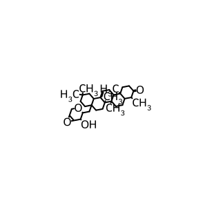 CC1C(=O)CCC2(C)C1CCC1(C)C2CC=C2C3CC(C)(C)CCC3(CC3OCC4OC4C3O)CC[C@]21C